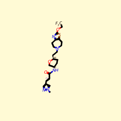 Cn1cc(/C=C/C(=O)N[C@H]2CC[C@H](CCN3CCc4nc(OCC(F)(F)F)sc4CC3)OC2)cn1